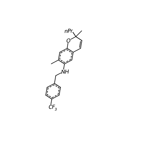 CCCC1(C)C=Cc2cc(NCc3ccc(C(F)(F)F)cc3)c(C)cc2O1